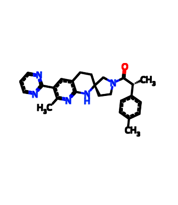 Cc1ccc([C@@H](C)C(=O)N2CC[C@@]3(CCc4cc(-c5ncccn5)c(C)nc4N3)C2)cc1